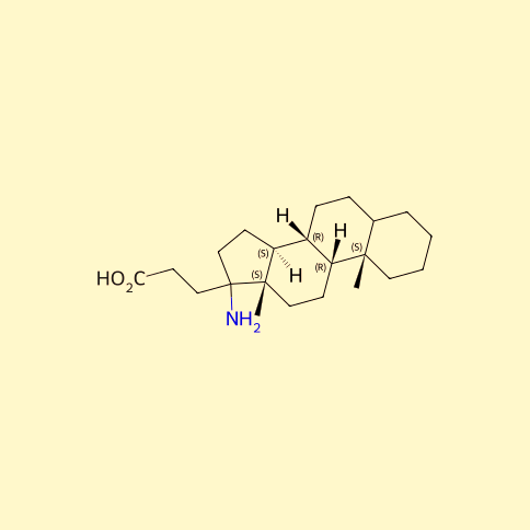 C[C@]12CCCCC1CC[C@@H]1[C@H]2CC[C@@]2(C)[C@H]1CCC2(N)CCC(=O)O